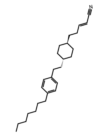 CCCCCCCc1ccc(CC[C@H]2CC[C@H](CCC=CC#N)CC2)cc1